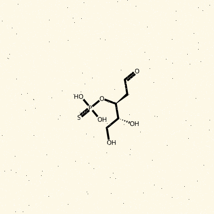 O=CC[C@H](OP(O)(O)=S)[C@H](O)CO